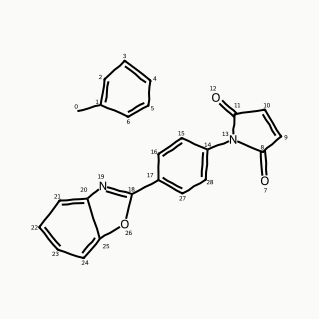 Cc1ccccc1.O=C1C=CC(=O)N1c1ccc(-c2nc3ccccc3o2)cc1